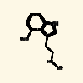 CCCNCCc1c[nH]c2cccc(OC)c12